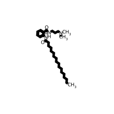 CCCCCCCCCCCCCCCCCC(=O)Nc1ccccc1C(=O)NCCCN(C)C